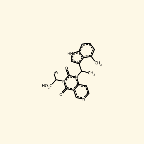 CCCC(C(=O)O)n1c(=O)c2cnccc2n(C(C)c2c[nH]c3cccc(C)c23)c1=O